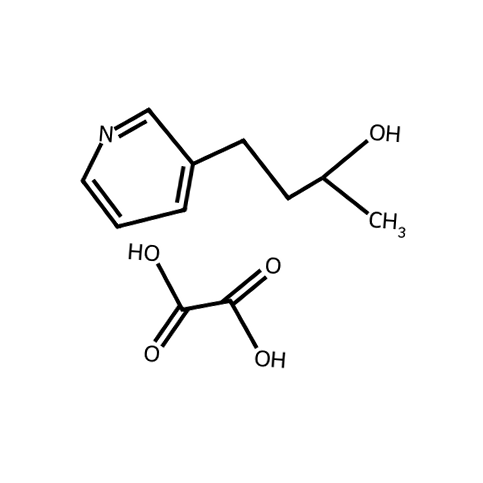 CC(O)CCc1cccnc1.O=C(O)C(=O)O